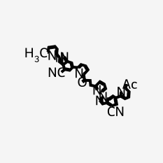 CC(=O)c1cccc(-c2cc(C#N)c3cnn(-c4cccc(CCC(=O)c5cccc(-c6cc(C#N)c7cn(-c8cccc(C)n8)nc7c6)n5)n4)c3c2)n1